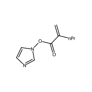 C=C(CCC)C(=O)On1ccnc1